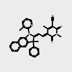 CC1=C(C#N)C(=O)N(C)C(=O)/C1=C/C=C1/N(c2ncccc2C)c2cc3ccccc3cc2C1(C)c1ccccc1